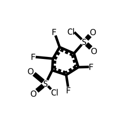 O=S(=O)(Cl)c1c(F)c(F)c(S(=O)(=O)Cl)c(F)c1F